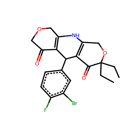 CCC1(CC)OCC2=C(C1=O)C(c1ccc(F)c(Br)c1)C1=C(COCC1=O)N2